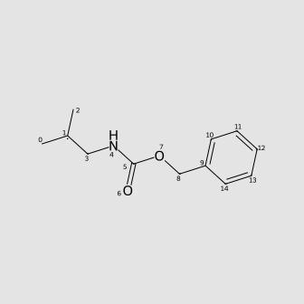 C[C](C)CNC(=O)OCc1ccccc1